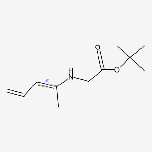 C=C/C=C(\C)NCC(=O)OC(C)(C)C